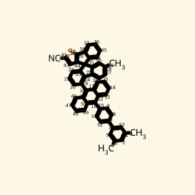 Cc1cc(C)cc(-c2ccc(-c3c4ccccc4c(-c4cccc5c4-c4ccc(C)cc4C54c5ccccc5-c5sc(C#N)cc54)c4ccccc34)cc2)c1